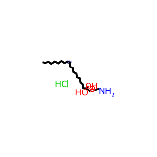 CCCCCCCC/C=C\CCCCCCCCCC(O)(O)COCCN.Cl